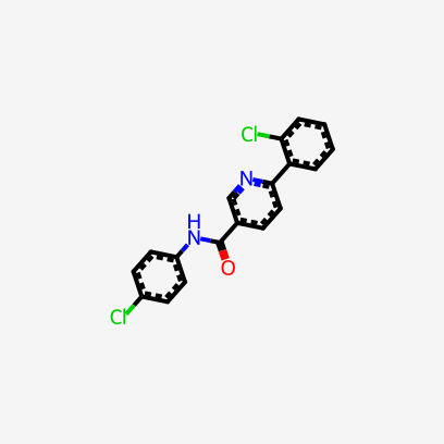 O=C(Nc1ccc(Cl)cc1)c1ccc(-c2ccccc2Cl)nc1